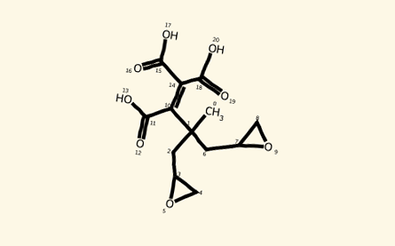 CC(CC1CO1)(CC1CO1)C(C(=O)O)=C(C(=O)O)C(=O)O